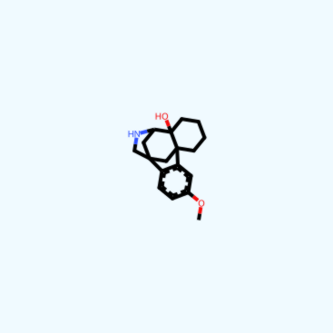 COc1ccc2c(c1)C13CCCCC1(O)C1CC2(CN1)C3